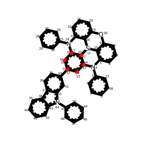 c1ccc(N2c3cccc4c3[Si]3(c5ccccc5)c5c(cccc5N(c5ccccc5)c5cc(-c6ccc7c8ccccc8n(-c8ccccc8)c7c6)cc2c53)O4)cc1